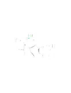 Cl.Cl.O=C(O)c1ccc(C(F)(C(F)F)C(F)(F)F)cc1C(=O)O